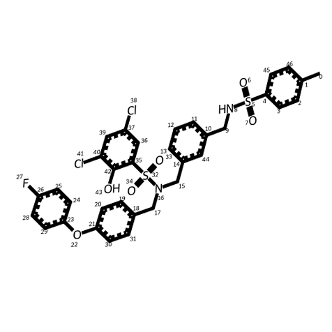 Cc1ccc(S(=O)(=O)NCc2cccc(CN(Cc3ccc(Oc4ccc(F)cc4)cc3)S(=O)(=O)c3cc(Cl)cc(Cl)c3O)c2)cc1